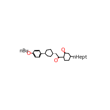 CCCCCCCC1CCC(C(=O)C[C@H]2CC[C@H](c3ccc(OCCCC)cc3)CC2)C(=O)C1